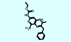 CCOC(=O)Nc1cc2c(c(N)n1)N=C(Cc1ccccc1)C(C)N2